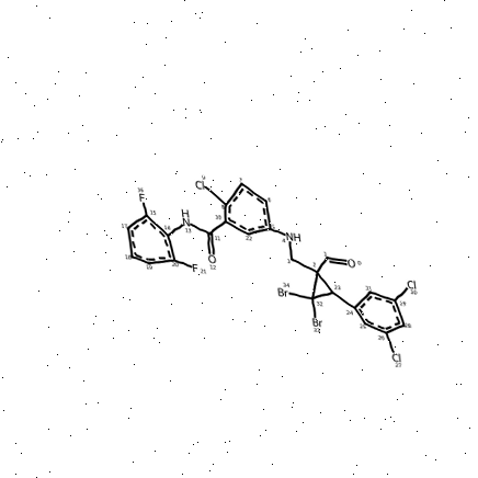 O=CC1(CNc2ccc(Cl)c(C(=O)Nc3c(F)cccc3F)c2)C(c2cc(Cl)cc(Cl)c2)C1(Br)Br